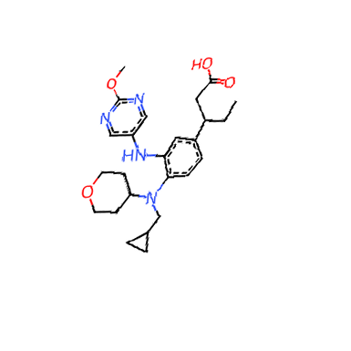 CCC(CC(=O)O)c1ccc(N(CC2CC2)C2CCOCC2)c(Nc2cnc(OC)nc2)c1